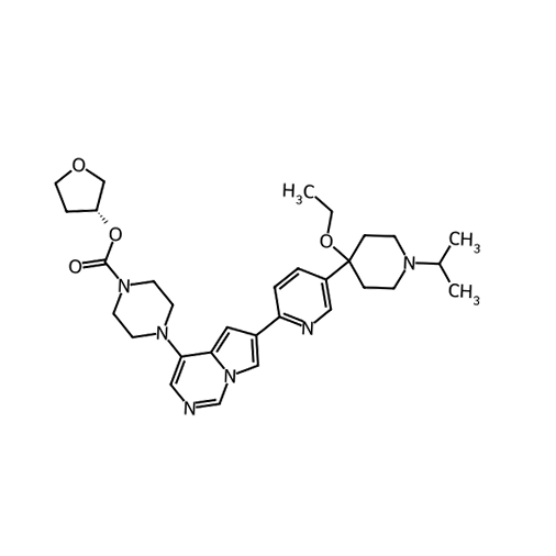 CCOC1(c2ccc(-c3cc4c(N5CCN(C(=O)O[C@@H]6CCOC6)CC5)cncn4c3)nc2)CCN(C(C)C)CC1